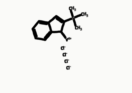 C[Si](C)(C)C1=Cc2ccccc2[CH]1[V+4].[Cl-].[Cl-].[Cl-].[Cl-]